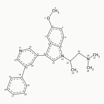 COc1ccc2c(c1)c(-c1cncc(-c3ccccc3)c1)cn2C(C)CN(C)C